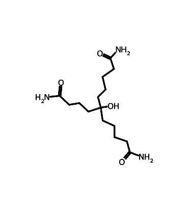 NC(=O)CCCCC(O)(CCCCC(N)=O)CCCC(N)=O